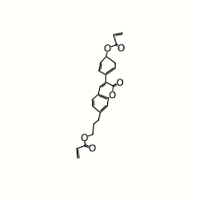 C=CC(=O)OCCCc1ccc2cc(C3=CCC(OC(=O)C=C)C=C3)c(=O)oc2c1